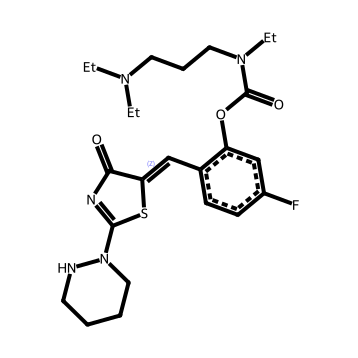 CCN(CC)CCCN(CC)C(=O)Oc1cc(F)ccc1/C=C1\SC(N2CCCCN2)=NC1=O